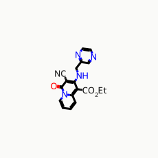 CCOC(=O)c1c(NCc2cnccn2)c(C#N)c(=O)n2ccccc12